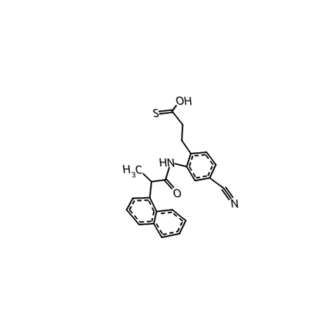 CC(C(=O)Nc1cc(C#N)ccc1CCC(O)=S)c1cccc2ccccc12